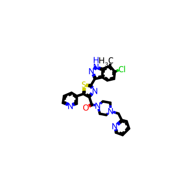 Cc1c(Cl)ccc2c(-c3nc(C(=O)N4CCN(Cc5ccccn5)CC4)c(-c4cccnc4)s3)n[nH]c12